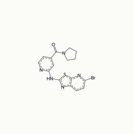 O=C(c1ccnc(Nc2nc3ccc(Br)nc3s2)c1)N1CCCC1